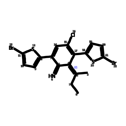 CC/C(C)=C1\C(=N)C(c2ccc(Br)s2)=CC(Cl)=C1c1ccc(Br)s1